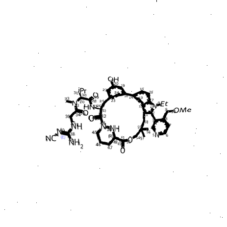 CCn1c(-c2cnccc2COC)c2c3cc(ccc31)-c1cc(O)cc(c1)C[C@H](NC(=O)[C@H](C(C)C)N(C)C(=O)CN/C(N)=N/C#N)C(=O)N1CCC[C@@](C)(N1)C(=O)OCC(C)(C)C2